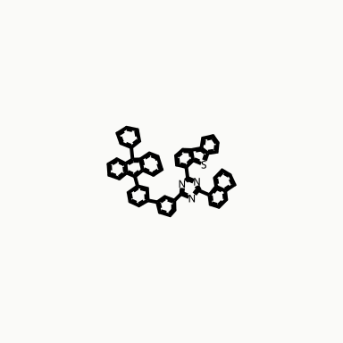 c1ccc(-c2c3ccccc3c(-c3cccc(-c4cccc(-c5nc(-c6cccc7ccccc67)nc(-c6cccc7c6sc6ccccc67)n5)c4)c3)c3ccccc23)cc1